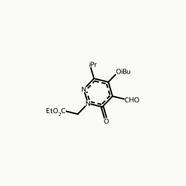 CCOC(=O)Cn1nc(C(C)C)c(OCC(C)C)c(C=O)c1=O